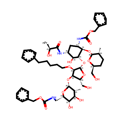 CCC[C@H](O)C(=O)N[C@@H]1C[C@H](NC(=O)OCc2ccccc2)[C@@H](O[C@H]2O[C@H](CO)CC[C@H]2C)[C@H](O[C@@H]2O[C@H](CO)[C@@H](O[C@H]3O[C@@H](CNC(=O)OCc4ccccc4)[C@@H](O)[C@H](O)[C@H]3C)[C@H]2OCCCCCc2ccccc2)[C@H]1O